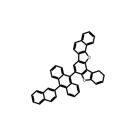 C1=Cc2oc3c(-c4c5ccccc5c(-c5ccc6ccccc6c5)c5ccccc45)cc4c5ccc6ccccc6c5oc4c3c2CC1